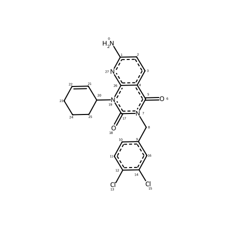 Nc1ccc2c(=O)n(Cc3ccc(Cl)c(Cl)c3)c(=O)n(C3C=CCCC3)c2n1